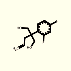 C=CCC(CO)(CO)c1ccc(F)cc1F